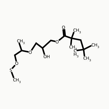 CSOCC(C)OCC(O)COC(=O)C(C)(C)CC(C)(C)C